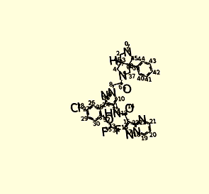 CN1C[C@H]2CN(C(=O)Cn3cc(NC(=O)c4cnn5cccnc45)c(-c4cc(Cl)ccc4OC(F)F)n3)C[C@@]2(c2ccccc2)C1